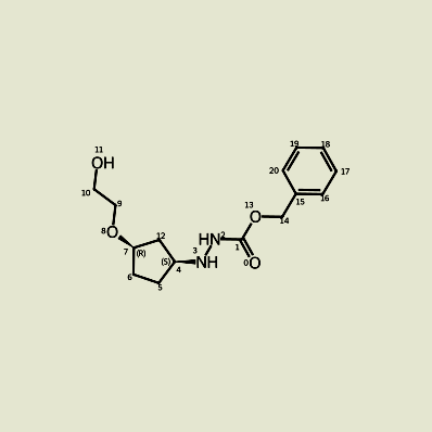 O=C(NN[C@H]1CC[C@@H](OCCO)C1)OCc1ccccc1